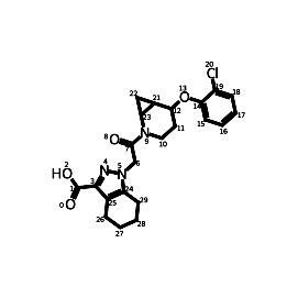 O=C(O)c1nn(CC(=O)N2CCC(Oc3ccccc3Cl)C3CC32)c2c1CCCC2